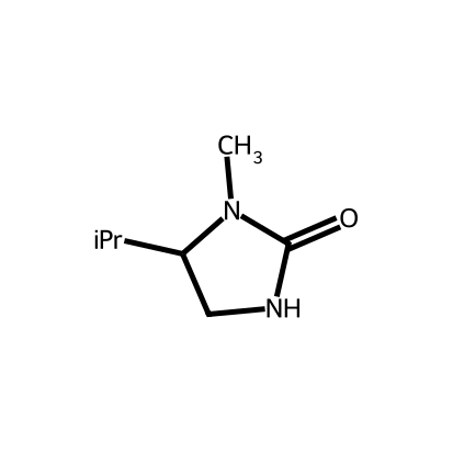 CC(C)C1CNC(=O)N1C